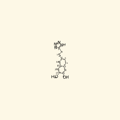 Oc1cc2ccc(SCc3nnn[nH]3)cc2cc1O